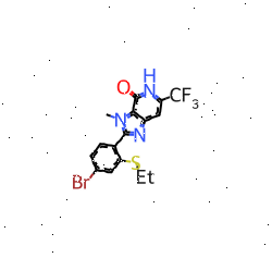 CCSc1cc(Br)ccc1-c1nc2cc(C(F)(F)F)[nH]c(=O)c2n1C